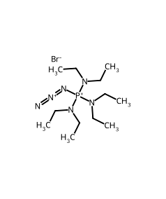 CCN(CC)[P+](N=[N+]=[N-])(N(CC)CC)N(CC)CC.[Br-]